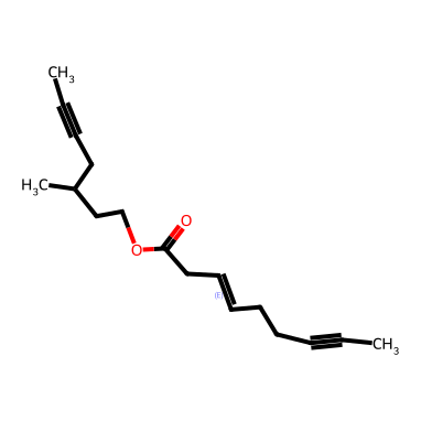 CC#CCC/C=C/CC(=O)OCCC(C)CC#CC